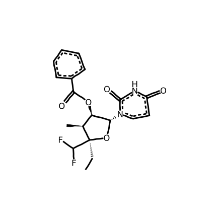 CC[C@@]1(C(F)F)O[C@@H](n2ccc(=O)[nH]c2=O)[C@H](OC(=O)c2ccccc2)[C@@H]1C